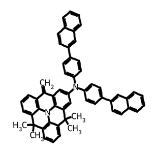 C=C1c2cccc3c2N2c4c1cc(N(c1ccc(-c5ccc6ccccc6c5)cc1)c1ccc(-c5ccc6ccccc6c5)cc1)cc4C(C)(C)c1cccc(c12)C3(C)C